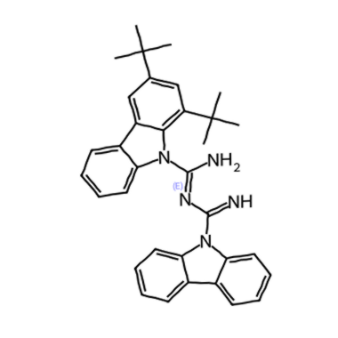 CC(C)(C)c1cc(C(C)(C)C)c2c(c1)c1ccccc1n2/C(N)=N/C(=N)n1c2ccccc2c2ccccc21